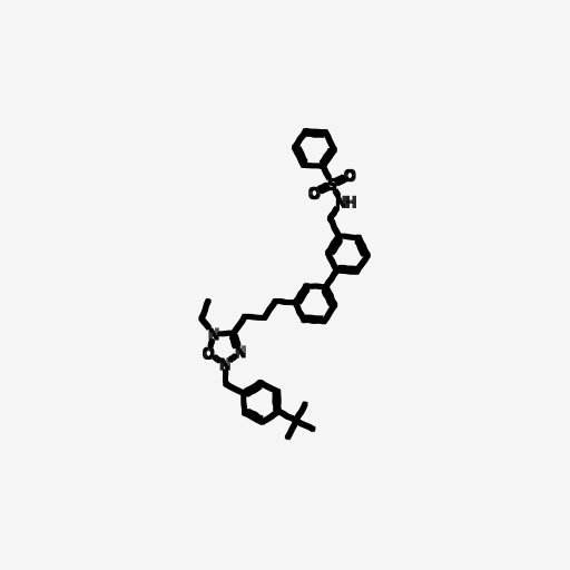 CCN1ON(Cc2ccc(C(C)(C)C)cc2)N=C1CCCc1cccc(-c2cccc(CNS(=O)(=O)c3ccccc3)c2)c1